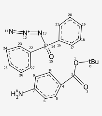 CC(C)(C)OC(=O)c1ccc(N)cc1.[N-]=[N+]=NP(=O)(c1ccccc1)c1ccccc1